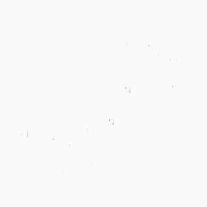 Clc1ccc2occ(CCN3CCN(c4cccc5c4OCCO5)CC3)c2c1